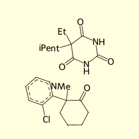 CCCC(C)C1(CC)C(=O)NC(=O)NC1=O.CNC1(c2ccccc2Cl)CCCCC1=O